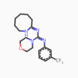 FC(F)(F)c1cccc(N=C(N=C2CCCCCCN2)N2CCOCC2)c1